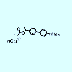 CCCCCCCCOC(C)C(=O)OC(C)c1ccc(-c2ccc(CCCCCC)cc2)cc1